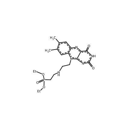 CCOP(=O)(CCNCCn1c2nc(=O)[nH]c(=O)c-2nc2cc(C)c(C)cc21)OCC